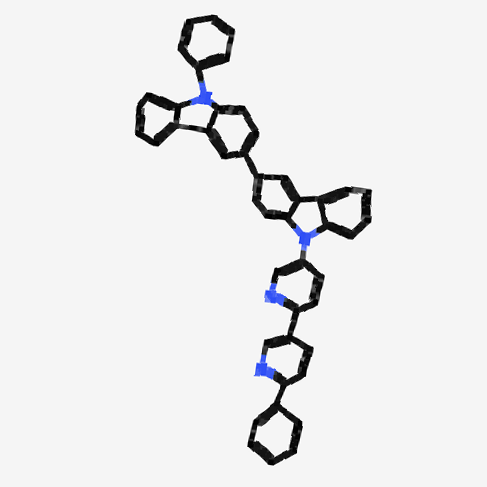 c1ccc(-c2ccc(-c3ccc(-n4c5ccccc5c5cc(-c6ccc7c(c6)c6ccccc6n7-c6ccccc6)ccc54)cn3)cn2)cc1